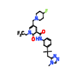 Cn1cnnc1CC(C)(C)c1cccc(NC(=O)c2cc(CN3CCC(F)CC3)cn(CC(F)(F)F)c2=O)c1